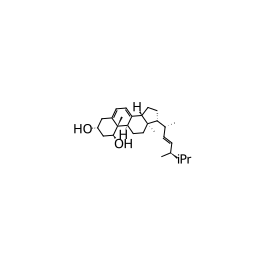 CC(C)[C@@H](C)C=C[C@@H](C)[C@H]1CC[C@H]2C3=CC=C4C[C@@H](O)C[C@H](O)[C@@]4(C)[C@@H]3CC[C@]12C